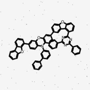 c1ccc(-c2cccc(N3c4ccc(-c5ccc6oc7cccc(-c8nc(-c9ccccc9)nc(-c9ccccc9)n8)c7c6c5)cc4Oc4cc(-c5cccc6c5oc5ccccc56)ccc43)c2)cc1